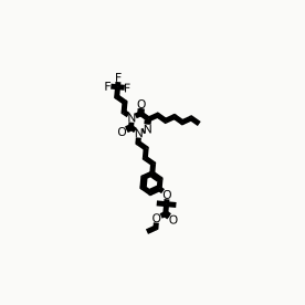 CCCCCCc1nn(CCCCc2cccc(OC(C)(C)C(=O)OCC)c2)c(=O)n(CCCC(F)(F)F)c1=O